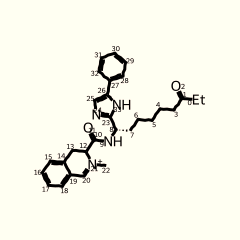 CCC(=O)CCCCC[C@H](NC(=O)C1Cc2ccccc2C=[N+]1C)c1ncc(-c2ccccc2)[nH]1